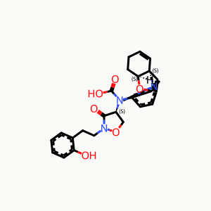 CN1CC[C@@]23C=CCC[C@@H]2Oc2c(N(C(=O)O)[C@H]4CON(CCc5ccccc5O)C4=O)ccc(c23)C1